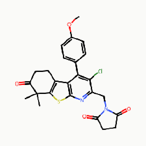 COc1ccc(-c2c(Cl)c(CN3C(=O)CCC3=O)nc3sc4c(c23)CCC(=O)C4(C)C)cc1